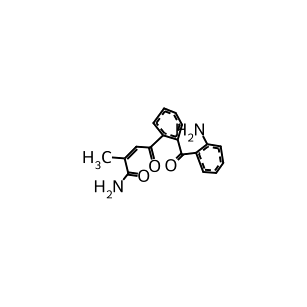 CC(=CC(=O)c1ccccc1C(=O)c1ccccc1N)C(N)=O